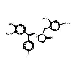 COc1ccc(CN2C(=O)CC[C@@H]2/C=C(\c2ccc(C)cc2)c2ccc(Br)c(OC)n2)c(OC)c1